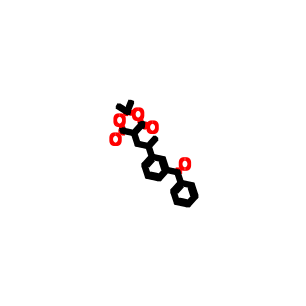 CC(CC1C(=O)OC(C)(C)OC1=O)c1cccc(C(=O)c2ccccc2)c1